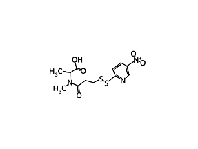 C[C@@H](C(=O)O)N(C)C(=O)CCSSc1ccc([N+](=O)[O-])cn1